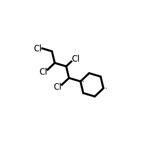 ClCC(Cl)C(Cl)C(Cl)[C]1CC[CH]CC1